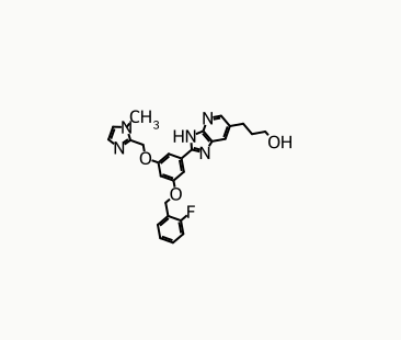 Cn1ccnc1COc1cc(OCc2ccccc2F)cc(-c2nc3cc(CCCO)cnc3[nH]2)c1